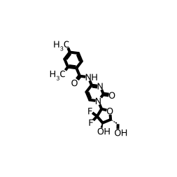 Cc1ccc(C(=O)Nc2ccn(C3O[C@H](CO)[C@@H](O)C3(F)F)c(=O)n2)c(C)c1